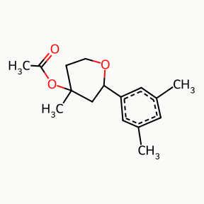 CC(=O)OC1(C)CCOC(c2cc(C)cc(C)c2)C1